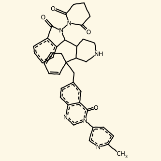 Cc1ccc(-n2cnc3ccc(CC4(C5CNCCC5C5c6ccccc6C(=O)N5N5C(=O)CCCC5=O)C=CC=CC4)cc3c2=O)cn1